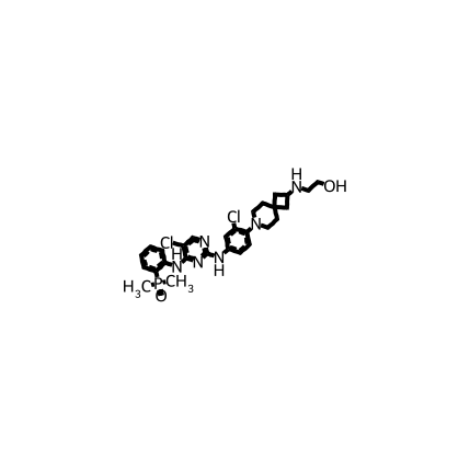 CP(C)(=O)c1ccccc1Nc1nc(Nc2ccc(N3CCC4(CC3)CC(NCCO)C4)c(Cl)c2)ncc1Cl